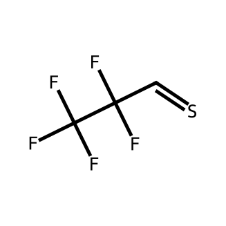 FC(F)(F)C(F)(F)C=S